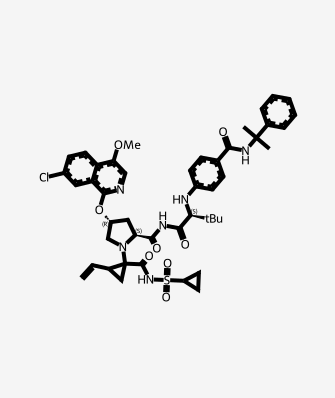 C=CC1CC1(C(=O)NS(=O)(=O)C1CC1)N1C[C@H](Oc2ncc(OC)c3ccc(Cl)cc23)C[C@H]1C(=O)NC(=O)[C@@H](Nc1ccc(C(=O)NC(C)(C)c2ccccc2)cc1)C(C)(C)C